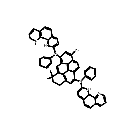 CC(C)c1cc(N(C2=CC=C3C=CC4=C(NCC=C4)C3N2)c2ccccc2)c2cc3c4c(cc(N(C5=CC=C6C=Cc7cccnc7C6N5)c5ccccc5)c5ccc1c2c54)CCC3(C)C